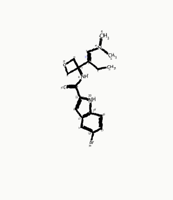 CC/C(=C\N(C)C)C1(NC(=O)c2cc3cc(Br)ccc3[nH]2)COC1